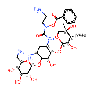 CN[C@@H]1[C@@H](O)[C@@H](O[C@H]2[C@H](NC(=O)N(CCN)OC(=O)c3ccccc3)C[C@H](N)C(O[C@H]3O[C@H](CN)[C@@H](O)[C@H](O)[C@H]3O)[C@@H]2O)OC[C@]1(C)O